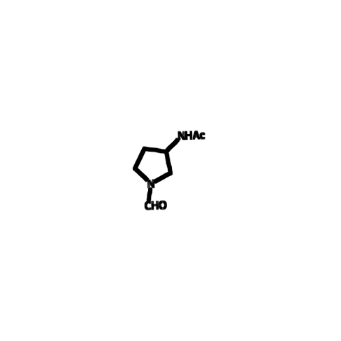 CC(=O)NC1CCN(C=O)C1